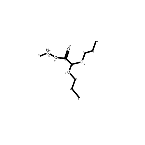 CCCOC(OCCC)C(=O)O[SiH2]C